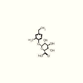 CCc1ccc(O[C@@H]2O[C@H](C(=O)O)[C@@H](O)[C@H](O)[C@H]2O)c(C)c1